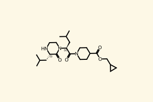 CC(C)C[C@@H]1NCCN([C@@H](CC(C)C)C(=O)N2CCC(C(=O)OCC3CC3)CC2)C1=O